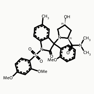 COc1ccc(S(=O)(=O)N2C(=O)C(c3ccccc3OC)(N3C[C@H](O)C[C@H]3C(=O)N(C)C)c3cc(C)ccc32)c(OC)c1